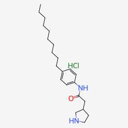 CCCCCCCCCCc1ccc(NC(=O)CC2CCNC2)cc1.Cl